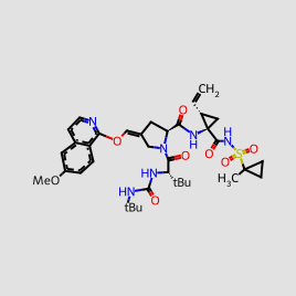 C=C[C@@H]1C[C@]1(NC(=O)[C@@H]1C/C(=C/Oc2nccc3cc(OC)ccc23)CN1C(=O)[C@@H](NC(=O)NC(C)(C)C)C(C)(C)C)C(=O)NS(=O)(=O)C1(C)CC1